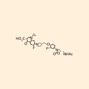 CC(=O)NC[C@H]1CN(c2ccc(OCCC3CCN(c4cc5c(cc4F)c(=O)c(C(=O)O)cn5C4CC4)C3)c(F)c2)C(=O)O1